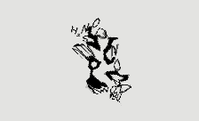 CC(Oc1cc(-n2cnc3cc(-c4cnn(C)c4)ccc32)sc1C(N)=O)c1cccc(OC2CCN(C(=O)OC(C)(C)C)CC2)n1